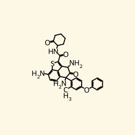 Cc1cc(Oc2ccccc2)ccc1C1(N)C(=O)C(N)c2c(C(=O)NC3CCCCC3=O)sc3c(N)ccc1c23